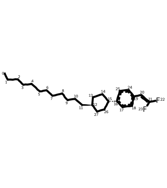 CCCCCCCCCCCC[C@H]1CC[C@H](c2ccc(C=C(F)F)cc2)CC1